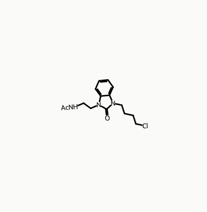 CC(=O)NCCn1c(=O)n(CCCCCl)c2ccccc21